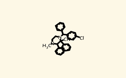 CN1CCN(C(c2ccccc2)c2ccc(Cl)cc2)C(C#N)(c2ccccc2)C1c1ccccc1